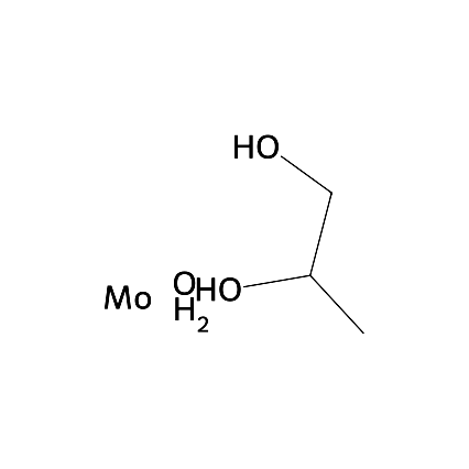 CC(O)CO.O.[Mo]